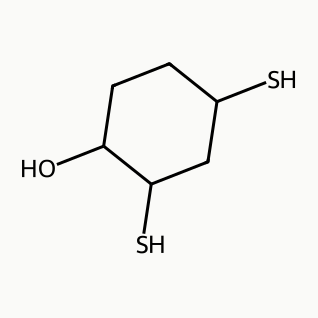 OC1CCC(S)CC1S